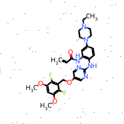 C=CC(=O)Nc1cc(N2CCN(CC)CC2)ccc1Nc1ncc(OCc2c(F)c(OC)cc(OC)c2F)cn1